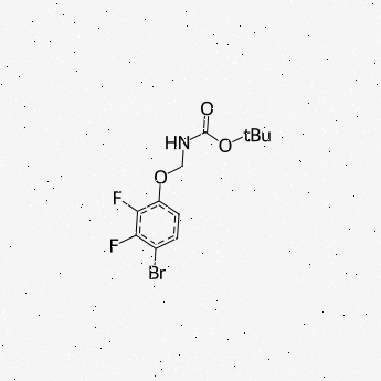 CC(C)(C)OC(=O)NCOc1ccc(Br)c(F)c1F